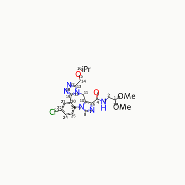 COC(CNC(=O)c1ncn2c1Cn1c(COC(C)C)nnc1-c1cc(Cl)ccc1-2)OC